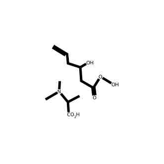 C=CCC(O)CC(=O)OO.CC(C(=O)O)N(C)C